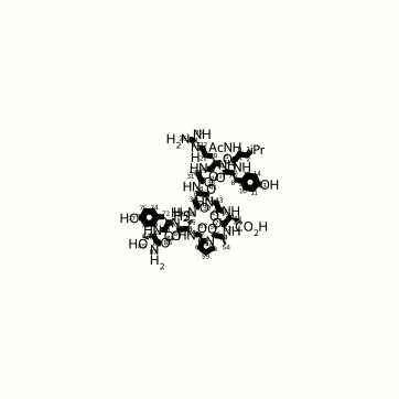 CC(=O)N[C@@H](CC(C)C)C(=O)N[C@@H](Cc1ccc(O)cc1)C(=O)N[C@@H](CCCNC(=N)N)C(=O)N[C@@H](C)C(=O)N[C@@H](CC(N)=O)C(=O)NCC(=O)N[C@@H](CC(=O)O)C(=O)N[C@@H](C)C(=O)N1CCC[C@H]1C(=O)N[C@@H](CS)C(=O)N[C@@H](Cc1ccc(O)cc1)C(=O)N[C@@H](CO)C(N)=O